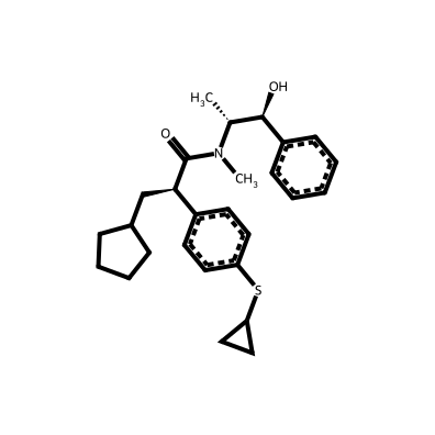 C[C@H]([C@@H](O)c1ccccc1)N(C)C(=O)[C@H](CC1CCCC1)c1ccc(SC2CC2)cc1